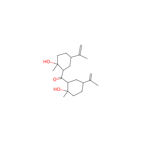 C=C(C)C1CCC(C)(O)C(C(=O)C2CC(C(=C)C)CCC2(C)O)C1